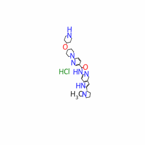 CN1CCC[C@@H]1c1cc2cnc(NC(=O)c3ccc(N4CCC(OC5CCNCC5)CC4)nc3)cc2[nH]1.Cl